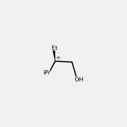 CC[C@@H](CO)C(C)C